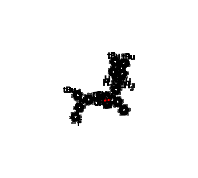 CC(C)(C)c1ccc(N(c2ccc(-c3cccc(F)c3)cc2)c2ccc(C(C)(C)C(C)(C)c3ccc(N(c4ccc(C(C)(C)C(C)(C)c5ccc6c(c5)C5(c7cc(C(C)(C)C)ccc7-c7ccc(C(C)(C)C)cc75)c5cc(C(C)(C)C)ccc5-6)cc4)c4ccc(-c5ccccc5)cc4-c4ccccc4)cc3)cc2)cc1